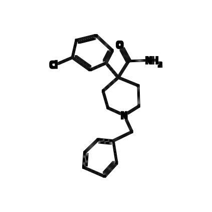 NC(=O)C1(c2cccc(Cl)c2)CCN(Cc2ccccc2)CC1